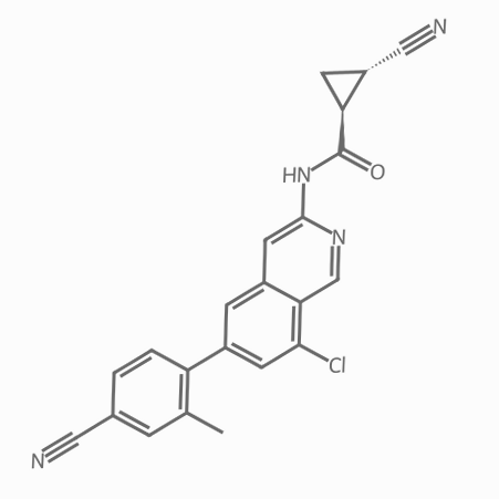 Cc1cc(C#N)ccc1-c1cc(Cl)c2cnc(NC(=O)[C@H]3C[C@@H]3C#N)cc2c1